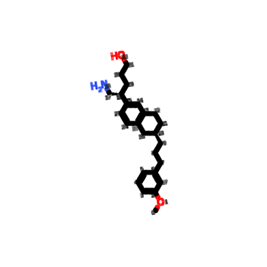 COc1cccc(CCC[C@@H]2CCc3cc([C@H](CN)CCCO)ccc3C2)c1